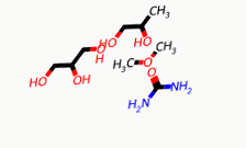 CC(O)CO.COC.NC(N)=O.OCC(O)CO